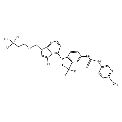 Cc1ncc(NC(=O)Nc2ccc(Oc3ccnc4c3c(Cl)cn4COCC[Si](C)(C)C)c(C(F)(F)F)c2)cn1